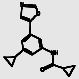 O=C(Nc1cc(-c2cnco2)cc(C2CC2)c1)C1CC1